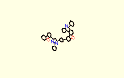 c1ccc(-c2nc(-c3ccc(-c4ccc5oc6ccc7c(-c8ccccc8)nc8ccccc8c7c6c5c4)cc3)cc(-c3cccc4c3oc3ccccc34)n2)cc1